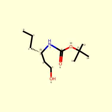 CCC[C@@H](CCO)NC(=O)OC(C)(C)C